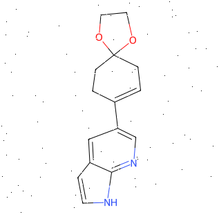 C1=C(c2cnc3[nH]ccc3c2)CCC2(C1)OCCO2